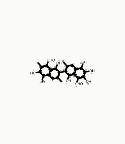 Cc1cc2c(C(C)C)c(O)c(C)c(C=O)c2c(O)c1-c1c(C)cc2c(C(C)C)c(O)c(O)c(C=O)c2c1O